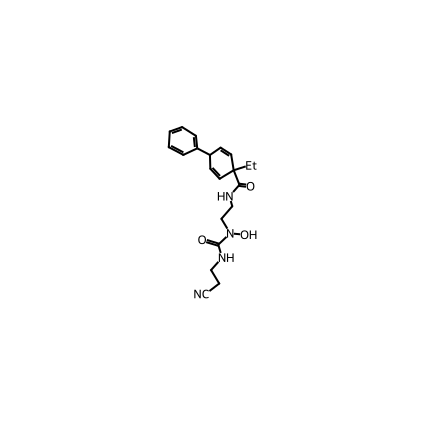 CCC1(C(=O)NCCN(O)C(=O)NCCC#N)C=CC(c2ccccc2)C=C1